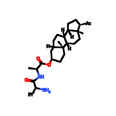 CC(=O)[C@H]1CC[C@H]2[C@@H]3CC[C@H]4C[C@H](OC(=O)[C@H](C)NC(=O)[C@@H](N)C(C)C)CC[C@]4(C)[C@H]3CC[C@]12C